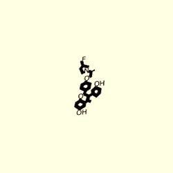 CC1=C(c2cccc(O)c2)C(c2ccc(OC[C@H](C)N3CCC(CF)C3)cc2)Oc2ccc(O)cc21